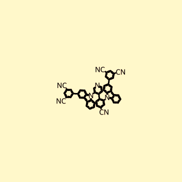 N#Cc1cc(C#N)cc(-c2ccc3c(c2)c2ccccc2n3-c2cnccc2-c2ccc(C#N)cc2-n2c3ccccc3c3cc(-c4cc(C#N)cc(C#N)c4)ccc32)c1